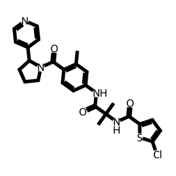 Cc1cc(NC(=O)C(C)(C)NC(=O)c2ccc(Cl)s2)ccc1C(=O)N1CCCC1c1ccncc1